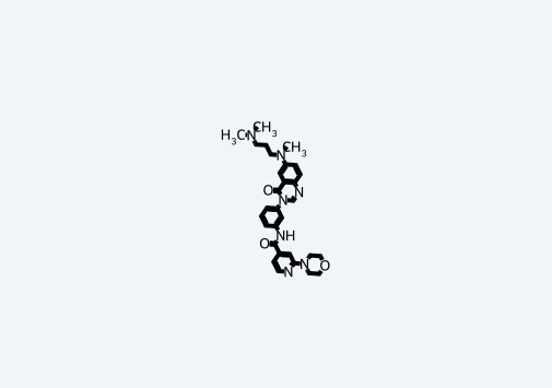 CN(C)CCCN(C)c1ccc2ncn(-c3cccc(NC(=O)c4ccnc(N5CCOCC5)c4)c3)c(=O)c2c1